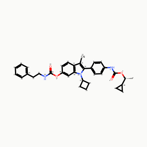 C[C@@H](OC(=O)Nc1ccc(-c2c(C#N)c3ccc(OC(=O)NCCc4ccccc4)cc3n2C2CCC2)cc1)C1CC1